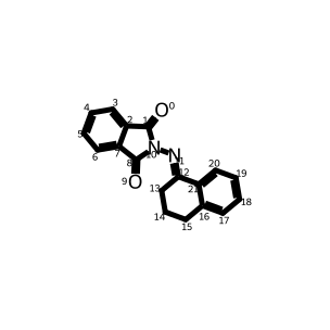 O=C1c2ccccc2C(=O)N1N=C1CCCc2ccccc21